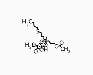 CCC(=O)O.CCCCSCCO[Si](CCCOC(C)=O)(OC)OC